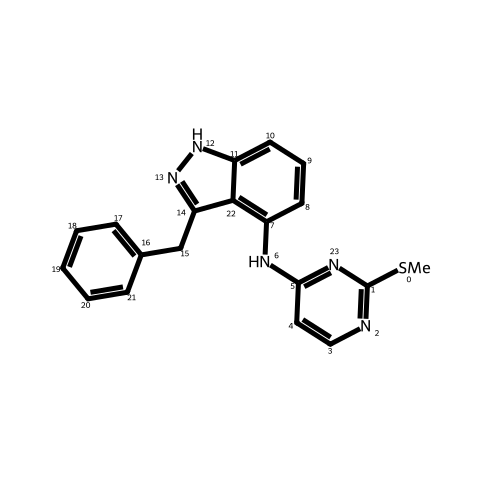 CSc1nccc(Nc2cccc3[nH]nc(Cc4ccccc4)c23)n1